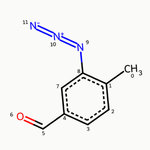 Cc1ccc(C=O)cc1N=[N+]=[N-]